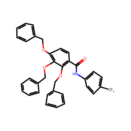 O=C(Nc1ccc(C(F)(F)F)cc1)c1ccc(OCc2ccccc2)c(OCc2ccccc2)c1OCc1ccccc1